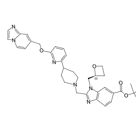 CC(C)(C)OC(=O)c1ccc2nc(CN3CCC(c4cccc(OCc5ccn6ccnc6c5)n4)CC3)n(C[C@@H]3CCO3)c2c1